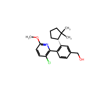 COc1ccc(Cl)c(-c2ccc(CO)cc2[C@@H]2CCCC2(C)C)n1